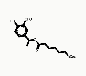 CCCCCCCCCCCCCCCC(=O)OC(C)c1ccc(O)c(C=O)c1